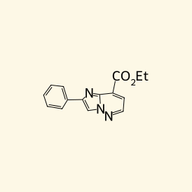 CCOC(=O)c1ccnn2cc(-c3ccccc3)nc12